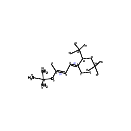 CC/C(=C\C=C(/C)OC(N)(N)N)C(CC(C)(C)C)C(C)(C)C